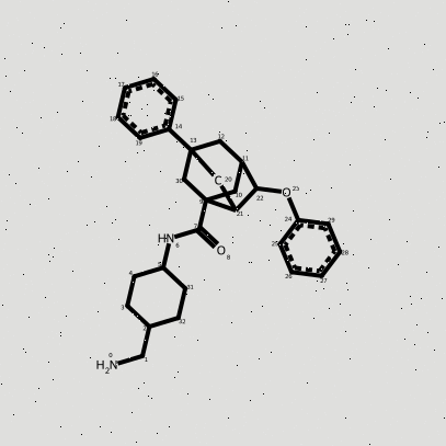 NCC1CCC(NC(=O)C23CC4CC(c5ccccc5)(CC2C4Oc2ccccc2)C3)CC1